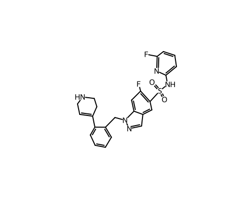 O=S(=O)(Nc1cccc(F)n1)c1cc2cnn(Cc3ccccc3C3=CCNCC3)c2cc1F